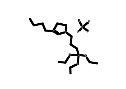 CCCC[N+]1=CN(CCC[Si](OCC)(OCC)OCC)CC1.F[B-](F)(F)F